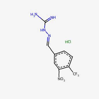 Cl.N=C(N)N/N=C/c1ccc(C(F)(F)F)c([N+](=O)[O-])c1